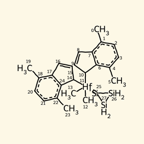 Cc1ccc(C)c2c1C=C[CH]2[Hf]([CH3])([CH3])([CH]1C=Cc2c(C)ccc(C)c21)=[Si]1[SiH2][SiH2]1